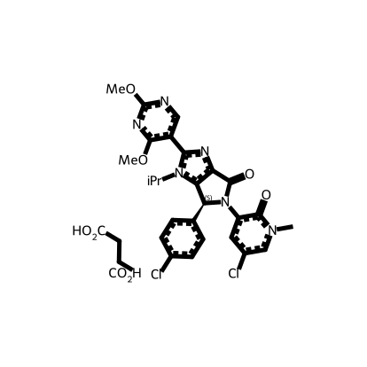 COc1ncc(-c2nc3c(n2C(C)C)[C@H](c2ccc(Cl)cc2)N(c2cc(Cl)cn(C)c2=O)C3=O)c(OC)n1.O=C(O)CCC(=O)O